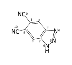 N#Cc1cc2nn[nH]c2cc1C#N